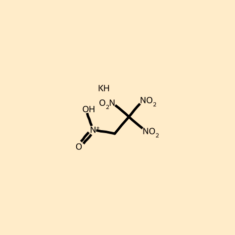 O=[N+](O)CC([N+](=O)[O-])([N+](=O)[O-])[N+](=O)[O-].[KH]